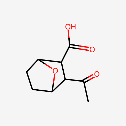 CC(=O)C1C2CCC(O2)C1C(=O)O